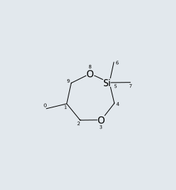 CC1COC[Si](C)(C)OC1